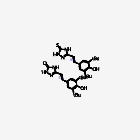 CC(C)(C)c1cc(/C=C/c2n[nH]c(=O)[nH]2)cc(C(C)(C)C)c1O.CC(C)(C)c1cc(/C=C/c2n[nH]c(=S)[nH]2)cc(C(C)(C)C)c1O